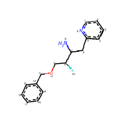 NC(Cc1ccccn1)[C@@H](F)COCc1ccccc1